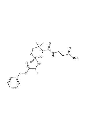 COC(=O)CCNC(=O)[C@@H]1OP(=O)(N[C@H](C)C(=O)OCc2cnccn2)OCC1(C)C